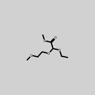 CCOC(OCCOC)C(=O)OC